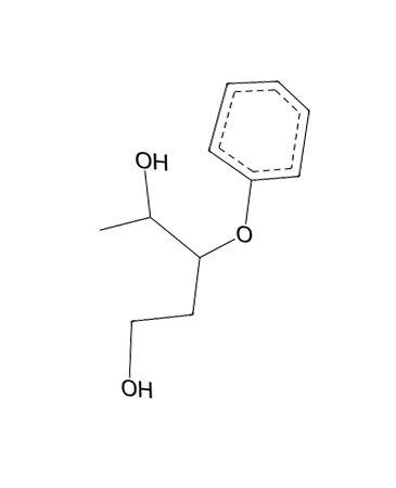 CC(O)C(CCO)Oc1ccccc1